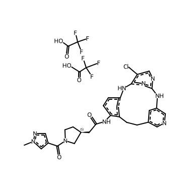 Cn1cc(C(=O)N2CC[C@@H](CC(=O)Nc3ccc4cc3CCc3cncc(c3)Nc3ncc(Cl)c(n3)N4)C2)cn1.O=C(O)C(F)(F)F.O=C(O)C(F)(F)F